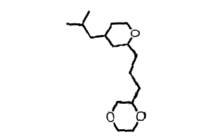 CC(C)CC1CCOC(CCCC2COCCO2)C1